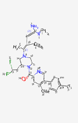 C=N/C(N)=C\C(OC)=C(/C)N1CCN(C(=O)c2cc(OC)c(-c3ccc(C(F)(F)F)cc3)cn2)C(CC(F)F)C1